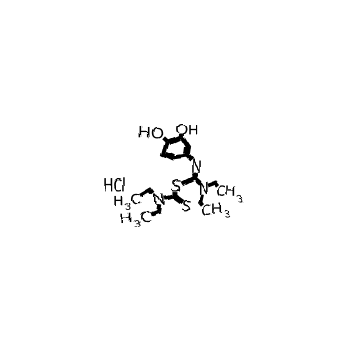 CCN(CC)C(=S)SC(=Nc1ccc(O)c(O)c1)N(CC)CC.Cl